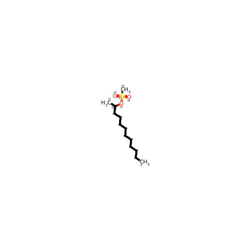 CCCCCCCCCCC(C)OS(C)(=O)=O